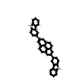 c1ccc2c(c1)sc1ccc(-c3cc4ccc5cc(-c6ccc7sc8ccccc8c7c6)cc6ccc(c3)c4c56)cc12